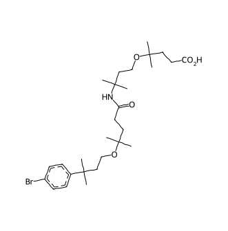 CC(C)(CCOC(C)(C)CCC(=O)O)NC(=O)CCC(C)(C)OCCC(C)(C)c1ccc(Br)cc1